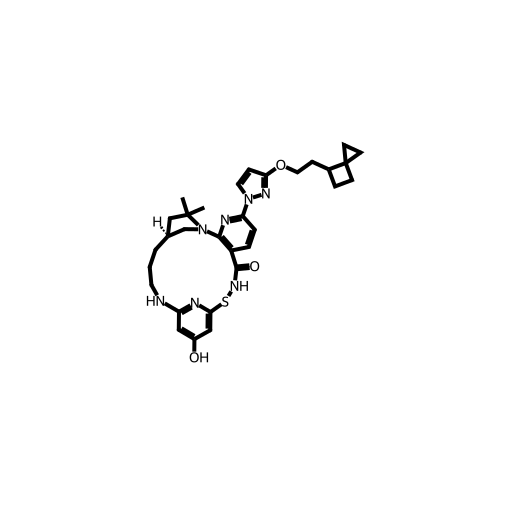 CC1(C)C[C@@H]2CCCNc3cc(O)cc(n3)SNC(=O)c3ccc(-n4ccc(OCCC5CCC56CC6)n4)nc3N1C2